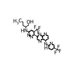 CCCC(CO)Nc1cc(C(F)(F)F)c(-c2cnc3c(Nc4ccc(C(F)(F)F)cn4)ccnc3n2)nn1